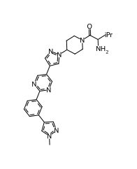 CC(C)C(N)C(=O)N1CCC(n2cc(-c3cnc(-c4cccc(-c5cnn(C)c5)c4)nc3)cn2)CC1